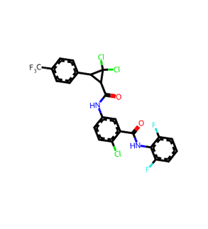 O=C(Nc1c(F)cccc1F)c1cc(NC(=O)C2C(c3ccc(C(F)(F)F)cc3)C2(Cl)Cl)ccc1Cl